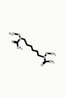 CON(CCCCCCN(OC)C(C)=O)C(C)=O